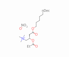 CCCCCCCCCCCCCCCOC(=O)C[C@H](C[N+](C)(C)C)OC(=O)CC.O=[N+]([O-])[O-]